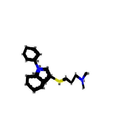 CN(C)CCCSc1cn(-c2ccccc2)c2ccccc12